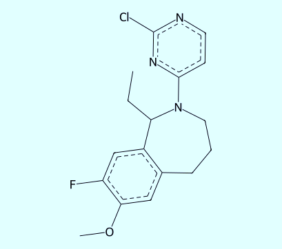 CCC1c2cc(F)c(OC)cc2CCCN1c1ccnc(Cl)n1